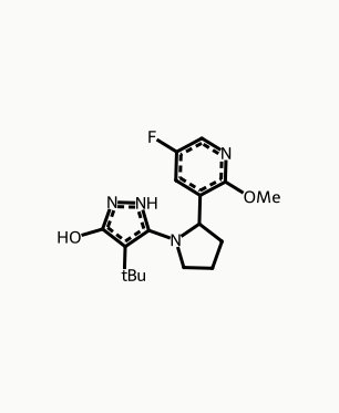 COc1ncc(F)cc1C1CCCN1c1[nH]nc(O)c1C(C)(C)C